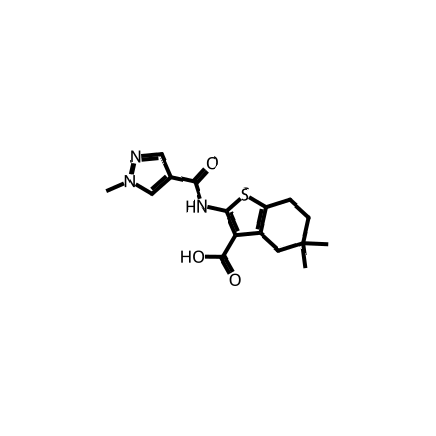 Cn1cc(C(=O)Nc2sc3c(c2C(=O)O)CC(C)(C)CC3)cn1